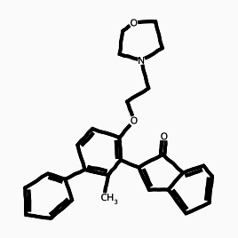 Cc1c(-c2ccccc2)ccc(OCCN2CCOCC2)c1C1=Cc2ccccc2C1=O